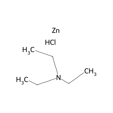 CCN(CC)CC.Cl.[Zn]